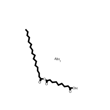 CCCCCCCCCCCCCCCCCC(=O)OC(=O)CCCCCCCC(=O)O.[AlH3]